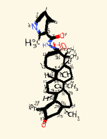 Cc1ncccc1C(=O)N[C@]1(O)CC[C@]2(C)[C@H]3CC[C@@H]4C5=C(C(C)C)C(=O)C[C@]5(C)CC[C@@]4(C)[C@]3(C)CC[C@H]2C1(C)C